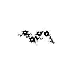 CCN(CC)CCOc1ccc(Nc2ncc3nc(-c4cc(NC(=O)c5cccc(C(F)(F)F)c5)ccc4C)c(=O)n(C)c3n2)cc1